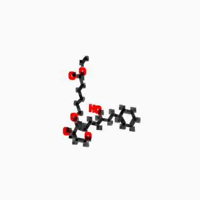 CCOC(=O)CCCCCOc1c(/C=C/C(O)CCc2ccccc2)occc1=O